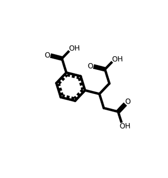 O=C(O)CC(CC(=O)O)c1cccc(C(=O)O)c1